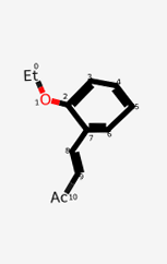 CCOc1ccccc1C=CC(C)=O